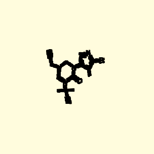 C#CCN1CN(c2snc(CC)c2C)C(=O)N(C(C)(C)C#C)C1